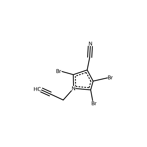 C#CCn1c(Br)c(Br)c(C#N)c1Br